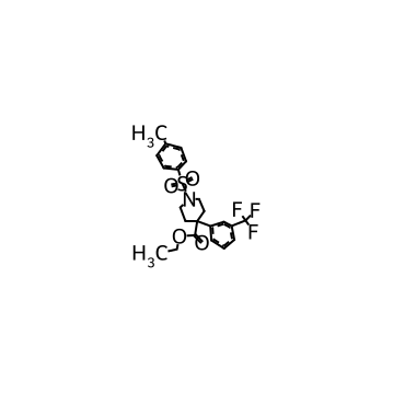 CCOC(=O)C1(c2cccc(C(F)(F)F)c2)CCN(S(=O)(=O)c2ccc(C)cc2)CC1